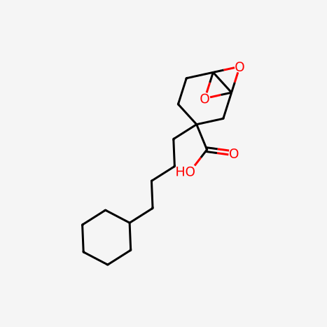 O=C(O)C1(CCCCC2CCCCC2)CCC23OC2(C1)O3